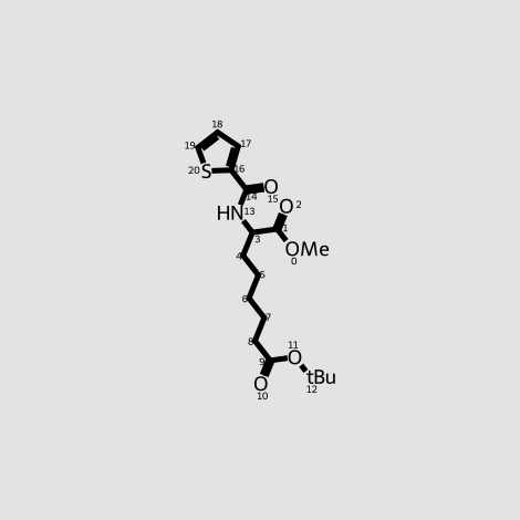 COC(=O)C(CCCCCC(=O)OC(C)(C)C)NC(=O)c1cccs1